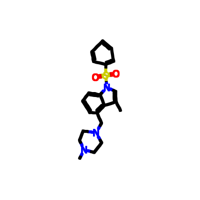 Cc1cn(S(=O)(=O)c2ccccc2)c2cccc(CN3CCN(C)CC3)c12